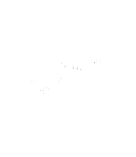 Cc1ncsc1-c1ccc([C@@H](N)CC(=O)NCCN)cc1